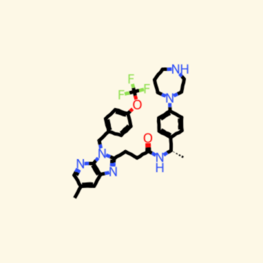 Cc1cnc2c(c1)nc(CCC(=O)N[C@@H](C)c1ccc(N3CCCNCC3)cc1)n2Cc1ccc(OC(F)(F)F)cc1